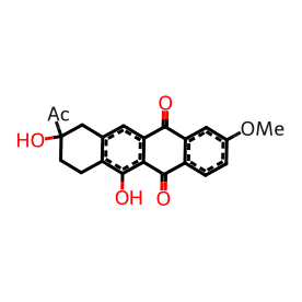 COc1ccc2c(c1)C(=O)c1cc3c(c(O)c1C2=O)CCC(O)(C(C)=O)C3